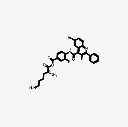 Cc1c(-c2ccccc2)nc2ccc(Br)cc2c1C(=O)Nc1ccc(C(=O)OC(=O)[C@@H](N)CCCCN)cc1F